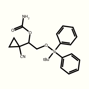 CC(C)(C)[Si](OCC(OC(N)=O)C1(C#N)CC1)(c1ccccc1)c1ccccc1